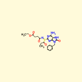 CCOC(=O)CCC(=O)/N=S(\C(=O)CC)c1nc(N)c2[nH]c(=O)n(Cc3ccccc3)c2n1